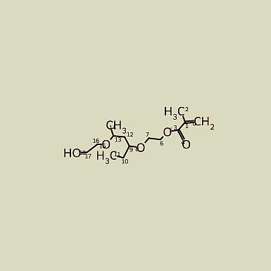 C=C(C)C(=O)OCCOC(CC)CC(C)OCCO